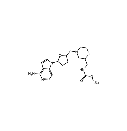 CC(C)(C)OC(=O)NCC1CN(CC2CCC(n3ccc4c(N)ncnc43)O2)CCO1